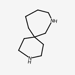 C1CCC2(CCNCC2)CNC1